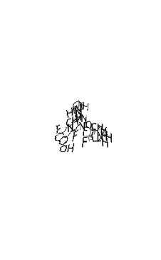 [2H]C([2H])([2H])N1CC[C@H](C(F)F)[C@](C)(COc2nc(N3C[C@H]4CC[C@@H](C3)N4)c3cnc(-c4cc(O)cc5ccc(F)c(C#C)c45)c(F)c3n2)C1